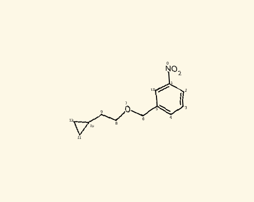 O=[N+]([O-])c1cccc(COCCC2CC2)c1